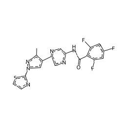 Cc1nn(-c2nccs2)cc1-c1cnc(NC(=O)c2c(F)cc(F)cc2F)cn1